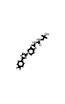 CC(C)(O)CNC(=O)Nc1nc2c(s1)CN(c1nc(C3CCC(F)(F)CC3)no1)CC2